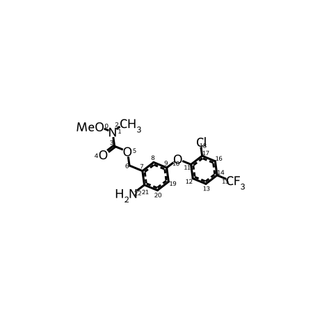 CON(C)C(=O)OCc1cc(Oc2ccc(C(F)(F)F)cc2Cl)ccc1N